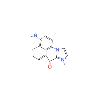 CN(C)c1ccc2c3c1cccc3c(=O)c1n2cc[n+]1C